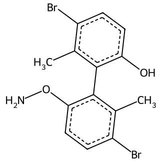 Cc1c(Br)ccc(O)c1-c1c(ON)ccc(Br)c1C